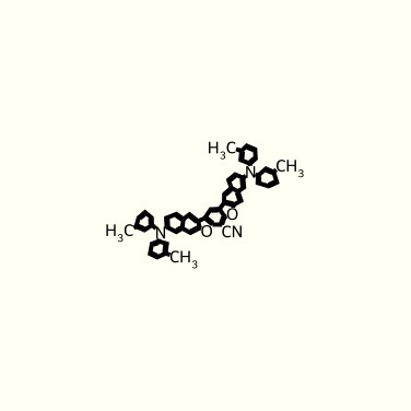 Cc1cccc(N(c2cccc(C)c2)c2ccc3cc4c(cc3c2)oc2c(C#N)c3oc5cc6cc(N(c7cccc(C)c7)c7cccc(C)c7)ccc6cc5c3cc24)c1